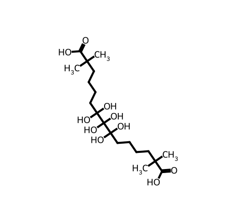 CC(C)(CCCCC(O)(O)C(O)(O)C(O)(O)CCCCC(C)(C)C(=O)O)C(=O)O